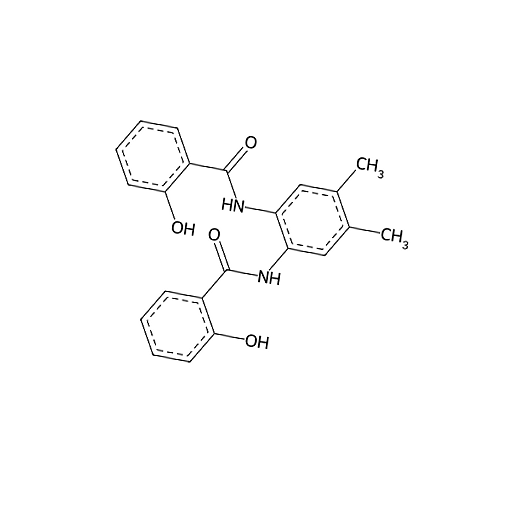 Cc1cc(NC(=O)c2ccccc2O)c(NC(=O)c2ccccc2O)cc1C